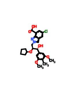 COc1cc([C@@H](O)[C@H](Cn2cc3cc(Cl)cc(C(=O)O)c3n2)OC2CCCC2)cc(OC)c1C